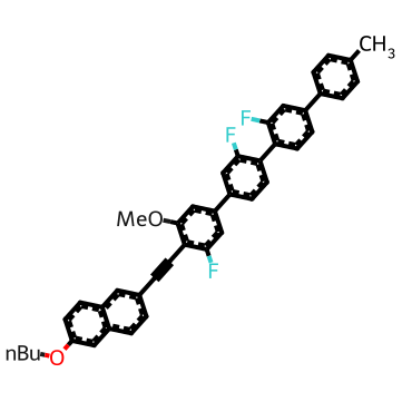 CCCCOc1ccc2cc(C#Cc3c(F)cc(-c4ccc(-c5ccc(-c6ccc(C)cc6)cc5F)c(F)c4)cc3OC)ccc2c1